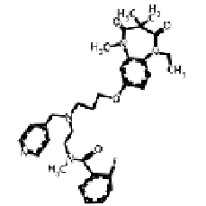 CCN1C(=O)C(C)(C)C(=O)N(C)c2cc(OCCCN(CCN(C)C(=O)c3ccccc3F)Cc3ccncc3)ccc21